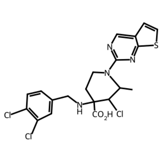 CC1C(Cl)C(NCc2ccc(Cl)c(Cl)c2)(C(=O)O)CCN1c1ncc2ccsc2n1